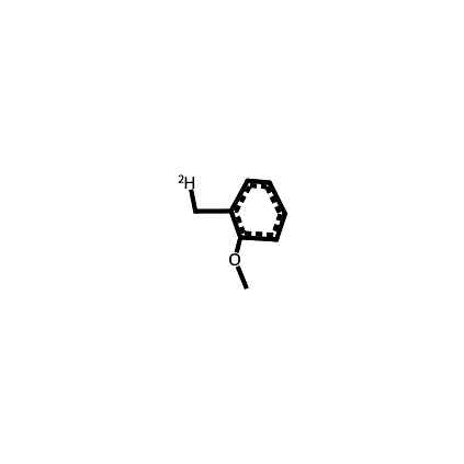 [2H]Cc1ccccc1OC